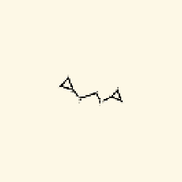 C(OC1CC1)OC1CC1